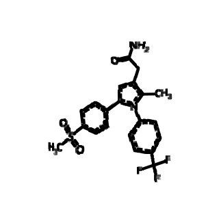 Cc1c(CC(N)=O)cc(-c2ccc(S(C)(=O)=O)cc2)n1-c1ccc(C(F)(F)F)cc1